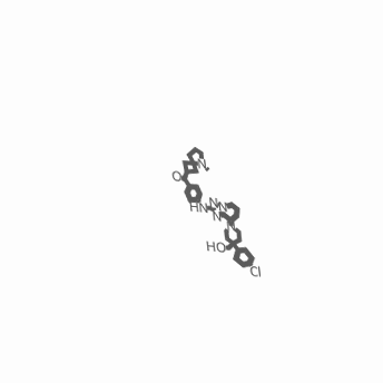 CN1CCCC12CC(C(=O)c1ccc(Nc3nc4c(N5CCC(CO)(c6ccc(Cl)cc6)CC5)cccn4n3)cc1)C2